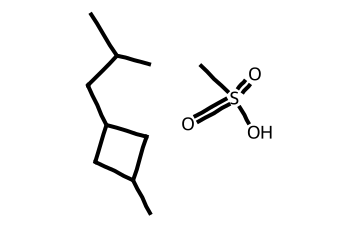 CC(C)CC1CC(C)C1.CS(=O)(=O)O